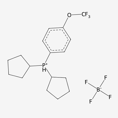 FC(F)(F)Oc1ccc([PH+](C2CCCC2)C2CCCC2)cc1.F[B-](F)(F)F